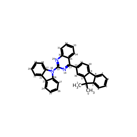 CC1(C)c2ccccc2-c2ccc(-c3nc(-n4c5ccccc5c5ccccc54)nc4ccccc34)cc21